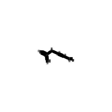 B#S(=B)SB=BB